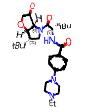 CC[C@H](C)[C@H](NC(=O)c1ccc(N2CCN(CC)CC2)cc1)C(=O)N1C[C@H](C(C)(C)C)[C@H]2OCC(=O)[C@H]21